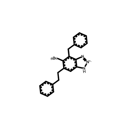 CCCCc1c(CCc2ccccc2)cc2c(c1Cc1ccccc1)N=[N+]N2